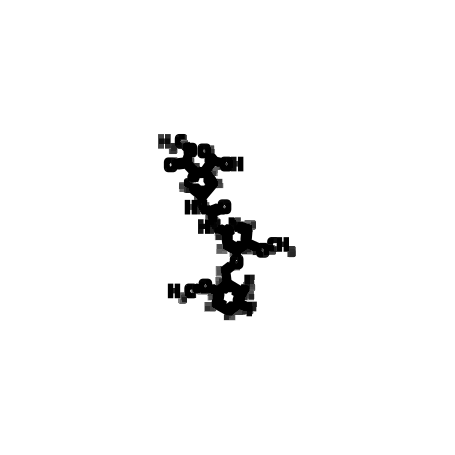 COC(=O)c1sc(NC(=O)Nc2cc(OCc3c(OC)ccc(F)c3F)c(OC)cn2)cc1C(=O)O